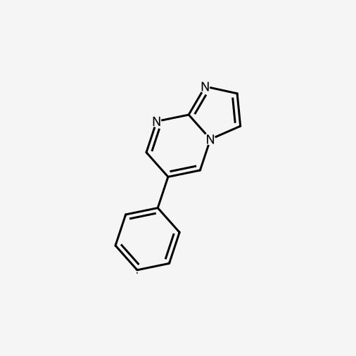 [c]1ccc(-c2cnc3nccn3c2)cc1